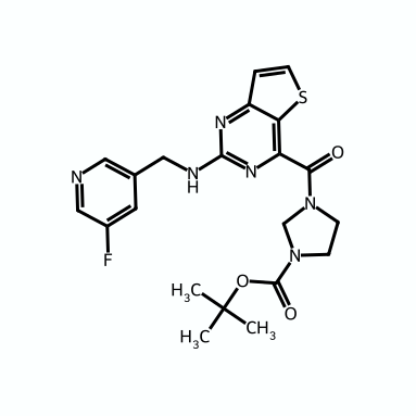 CC(C)(C)OC(=O)N1CCN(C(=O)c2nc(NCc3cncc(F)c3)nc3ccsc23)C1